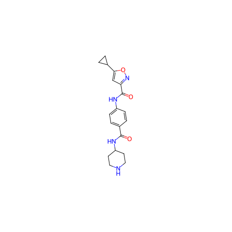 O=C(NC1CCNCC1)c1ccc(NC(=O)c2cc(C3CC3)on2)cc1